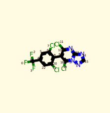 FC(F)(F)c1cc(Cl)c(-c2c(Cl)nc3ncnn3c2Cl)c(Cl)c1